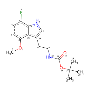 COc1ccc(F)c2[nH]cc(CCNC(=O)OC(C)(C)C)c12